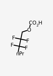 CCCC(F)(F)C(F)(F)COC(=O)O